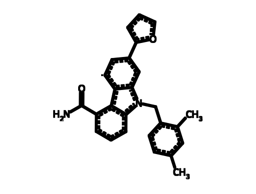 Cc1ccc(Cn2c3cc(-c4ccco4)c[c]c3c3c(C(N)=O)cccc32)c(C)c1